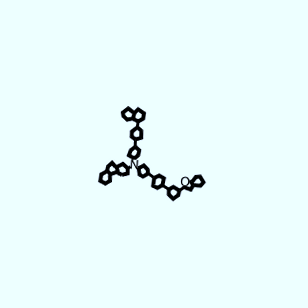 c1cc(-c2ccc(-c3ccc(N(c4ccc(-c5ccc(-c6cccc7ccccc67)cc5)cc4)c4ccc5c(ccc6ccccc65)c4)cc3)cc2)cc(-c2cc3ccccc3o2)c1